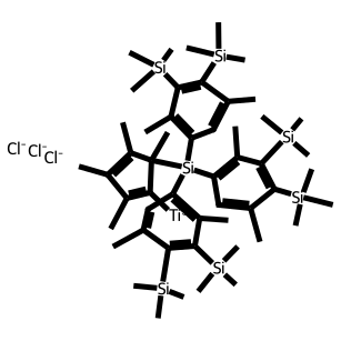 CC1=C(C)C(C)([Si](c2cc(C)c([Si](C)(C)C)c([Si](C)(C)C)c2C)(c2cc(C)c([Si](C)(C)C)c([Si](C)(C)C)c2C)c2cc(C)c([Si](C)(C)C)c([Si](C)(C)C)c2C)[C]([Ti+3])=C1C.[Cl-].[Cl-].[Cl-]